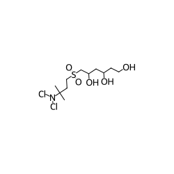 CC(C)(CCS(=O)(=O)CC(O)CC(O)CCO)N(Cl)Cl